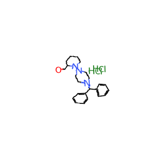 Cl.Cl.O=CC1CCCCN1N1CCN(C(c2ccccc2)c2ccccc2)CC1